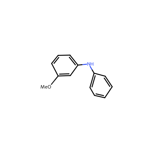 COc1cccc(Nc2ccccc2)c1